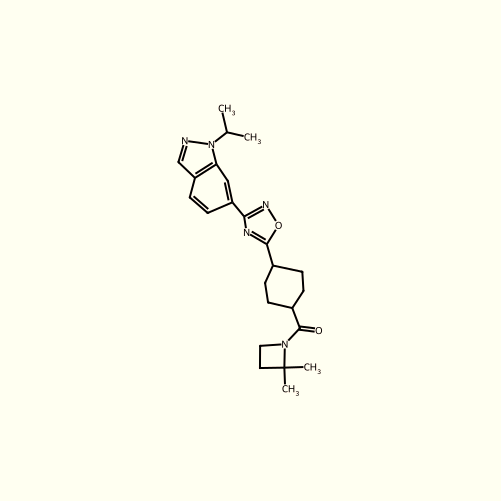 CC(C)n1ncc2ccc(-c3noc(C4CCC(C(=O)N5CCC5(C)C)CC4)n3)cc21